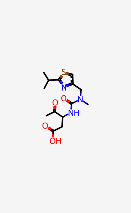 CC(=O)C(CC(=O)O)NC(=O)N(C)Cc1csc(C(C)C)n1